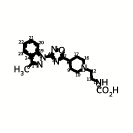 Cc1nn(-c2noc(C3CCN(CCNC(=O)O)CC3)n2)c2ccccc12